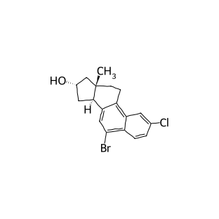 C[C@@]12CCc3c(cc(Br)c4ccc(Cl)cc34)[C@H]1C[C@H](O)C2